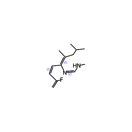 C=C(F)\C=C/C(/N=C\NC)=C(\C)CC(C)C